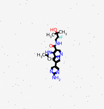 CC(C)Nc1c(C(=O)NC[C@@H](F)C(C)(C)O)cnn2cc(-c3cnc(N)nc3)cc12